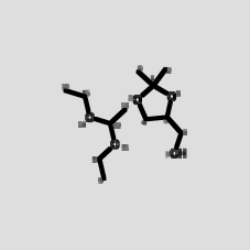 CC1(C)OCC(CO)O1.CCOC(C)OCC